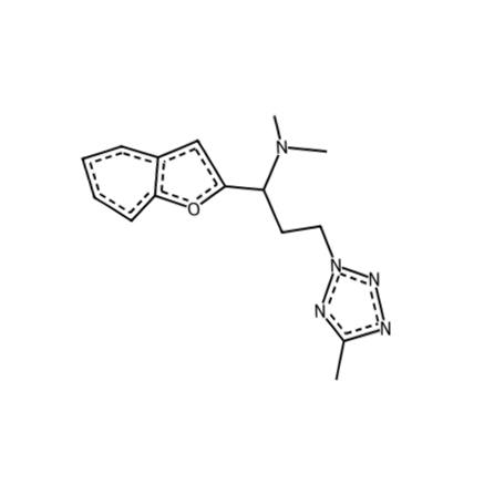 Cc1nnn(CCC(c2cc3ccccc3o2)N(C)C)n1